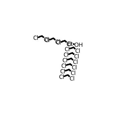 CCO.ClCCl.ClCCl.ClCCl.ClCCl.ClCCl.ClCCl.ClCCl.ClCCl.ClCCl